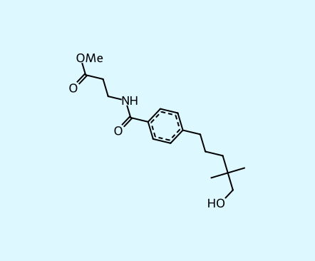 COC(=O)CCNC(=O)c1ccc(CCCC(C)(C)CO)cc1